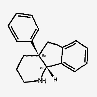 c1ccc([C@]23CCCN[C@H]2c2ccccc2C3)cc1